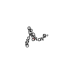 COc1ccc(/C=C\C(=O)N(Cc2ccc(N3CCN(C(C)=O)CC3)cc2)[C@@H](Cc2ccccc2)C(=O)N2CCN(Cc3ccc(N(C)CCO[Si](C)(C)C(C)(C)C)cc3)CC2)cn1